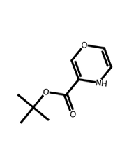 CC(C)(C)OC(=O)C1=COC=CN1